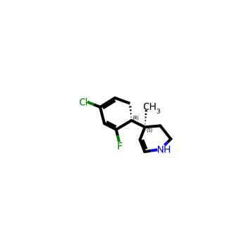 C[C@@]1([C@H]2CC=C(Cl)C=C2F)C=CNCC1